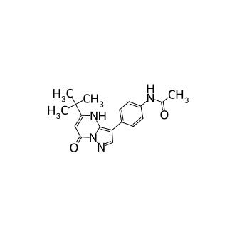 CC(=O)Nc1ccc(-c2cnn3c(=O)cc(C(C)(C)C)[nH]c23)cc1